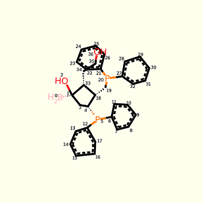 B[C@@]1(O)C[C@@H](P(c2ccccc2)c2ccccc2)[C@@H](CP(c2ccccc2)c2ccccc2)[C@H]1CCO